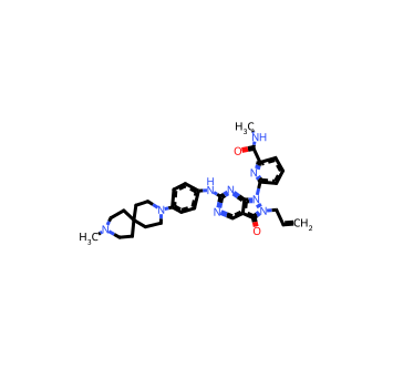 C=CCn1c(=O)c2cnc(Nc3ccc(N4CCC5(CCN(C)CC5)CC4)cc3)nc2n1-c1cccc(C(=O)NC)n1